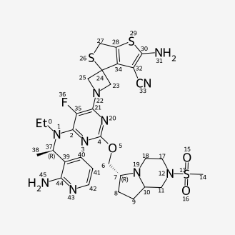 CCN(c1nc(OC[C@H]2CCC3CN(S(C)(=O)=O)CCN32)nc(N2CC3(C2)SCc2sc(N)c(C#N)c23)c1F)[C@H](C)c1cccnc1N